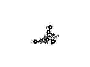 COc1ccc(CCS(=O)(=O)Nc2nn(C)c3c(-n4c([C@H](Cc5cc(F)cc(F)c5)NC(=O)O)nc5nc(-c6ccc(F)cc6F)ccc5c4=O)ccc(Cl)c23)cc1